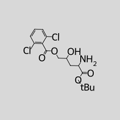 CC(C)(C)OC(=O)C(N)CC(O)COC(=O)c1c(Cl)cccc1Cl